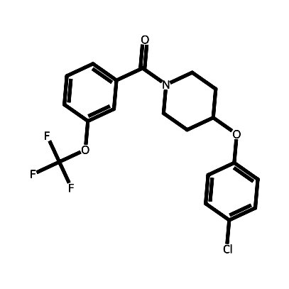 O=C(c1cccc(OC(F)(F)F)c1)N1CCC(Oc2ccc(Cl)cc2)CC1